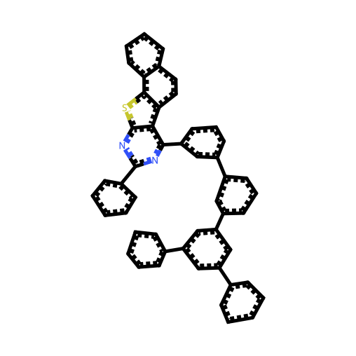 c1ccc(-c2cc(-c3ccccc3)cc(-c3cccc(-c4cccc(-c5nc(-c6ccccc6)nc6sc7c8ccccc8ccc7c56)c4)c3)c2)cc1